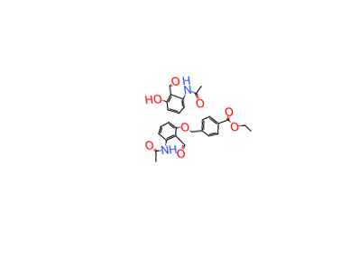 CC(=O)Nc1cccc(O)c1C=O.CCOC(=O)c1ccc(COc2cccc(NC(C)=O)c2C=O)cc1